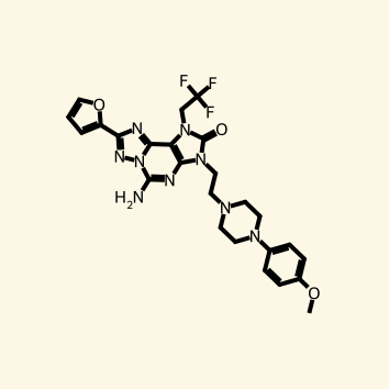 COc1ccc(N2CCN(CCn3c(=O)n(CC(F)(F)F)c4c3nc(N)n3nc(-c5ccco5)nc43)CC2)cc1